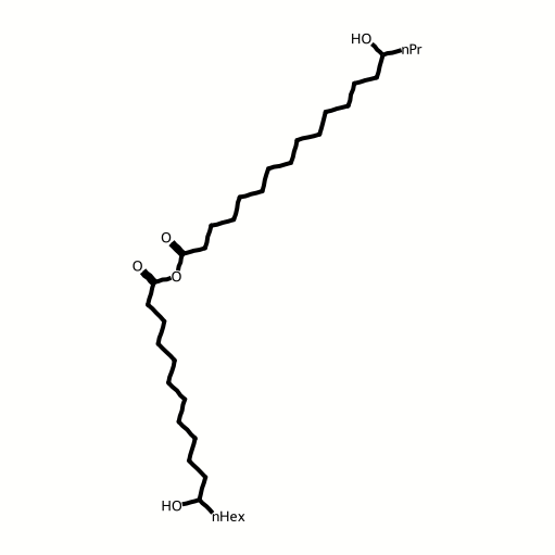 CCCCCCC(O)CCCCCCCCCCC(=O)OC(=O)CCCCCCCCCCCCCC(O)CCC